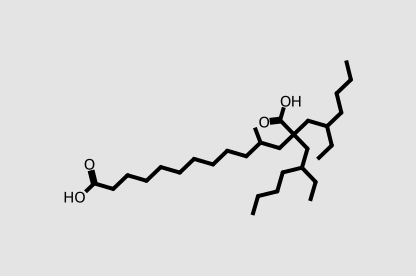 CCCCC(CC)CC(CC(C)CCCCCCCCCC(=O)O)(CC(CC)CCCC)C(=O)O